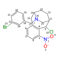 O=[N+]([O-])c1cccc2c1C(Cl)C1CCC(C2)N(Cc2cccc(Br)c2)C1